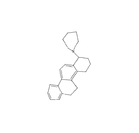 c1ccc2c(c1)CCc1c-2ccc2c1CCCC2N1CCCCC1